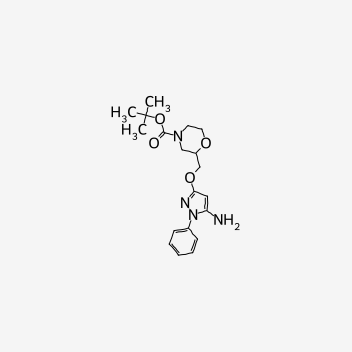 CC(C)(C)OC(=O)N1CCOC(COc2cc(N)n(-c3ccccc3)n2)C1